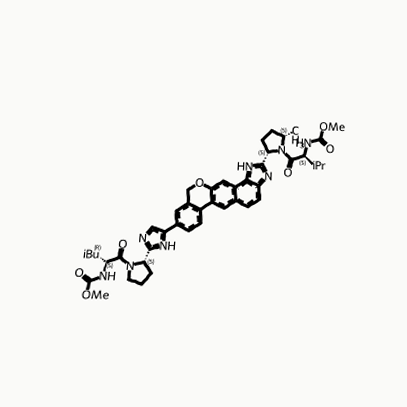 CC[C@@H](C)[C@H](NC(=O)OC)C(=O)N1CCC[C@H]1c1ncc(-c2ccc3c(c2)COc2cc4c(ccc5nc([C@@H]6CC[C@H](C)N6C(=O)[C@@H](NC(=O)OC)C(C)C)[nH]c54)cc2-3)[nH]1